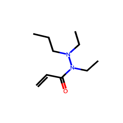 C=CC(=O)N(CC)N(CC)CCC